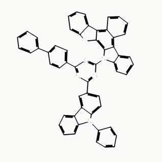 c1ccc(-c2ccc(-c3nc(-c4ccc5c(c4)c4ccccc4n5-c4ccccc4)nc(-n4c5ccccc5c5c6ccccc6c6c7ccccc7sc6c54)n3)cc2)cc1